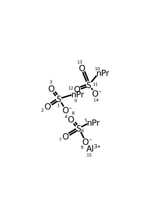 CCCS(=O)(=O)[O-].CCCS(=O)(=O)[O-].CCCS(=O)(=O)[O-].[Al+3]